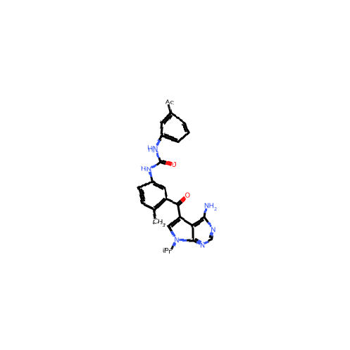 CC(=O)c1cccc(NC(=O)Nc2ccc(C)c(C(=O)c3cn(C(C)C)c4ncnc(N)c34)c2)c1